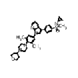 Cc1cc(-n2cc(-c3ccc(S(C)(=O)=NC4CC4)cc3)c3cccnc32)cc(C)c1N1CCN(C2CCOCC2)CC1